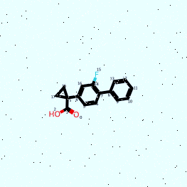 O=C(O)C1(c2ccc(-c3ccccc3)c(F)c2)CC1